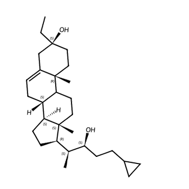 CC[C@]1(O)CC[C@@]2(C)C(=CC[C@@H]3C2CC[C@]2(C)[C@@H]([C@H](C)[C@@H](O)CCC4CC4)CC[C@@H]32)C1